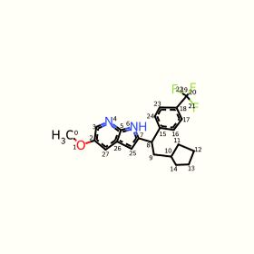 COc1cnc2[nH]c(C(CC3CCCC3)c3ccc(C(F)(F)F)cc3)cc2c1